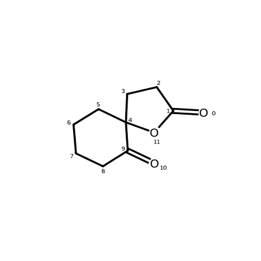 O=C1CCC2(CCCCC2=O)O1